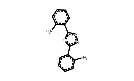 Nc1ccccc1-c1nnc(-c2ccccc2N)o1